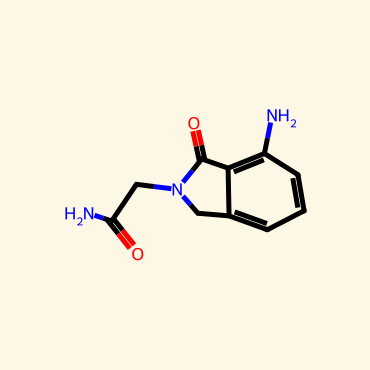 NC(=O)CN1Cc2cccc(N)c2C1=O